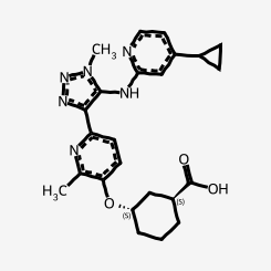 Cc1nc(-c2nnn(C)c2Nc2cc(C3CC3)ccn2)ccc1O[C@H]1CCC[C@H](C(=O)O)C1